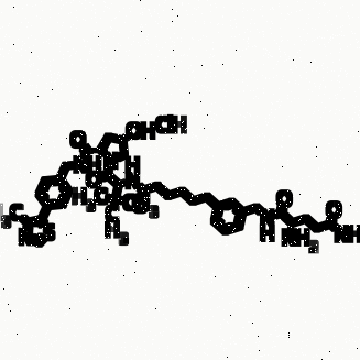 Cc1ncsc1-c1ccc(CNC(=O)[C@@H]2C[C@@H](O)CN2C(=O)[C@@H](NC(=O)CCCCCc2cccc(CNC(=O)[C@@H](N)CCC(N)=O)c2)C(C)(C)C)cc1.Cl